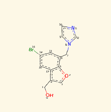 OCc1coc2c(Cn3ccnc3)cc(Br)cc12